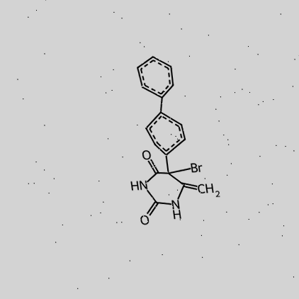 C=C1NC(=O)NC(=O)C1(Br)c1ccc(-c2ccccc2)cc1